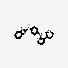 c1cnc(Oc2ccc(Nc3nc4ccccc4s3)cc2)c(C2CCCOC2)c1